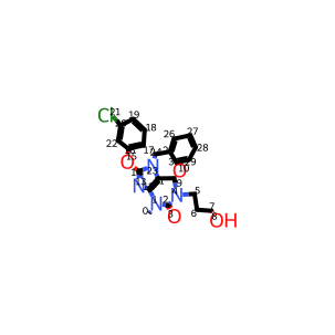 Cn1c(=O)n(CCCO)c(=O)c2c1nc(Oc1cccc(Cl)c1)n2Cc1ccccc1